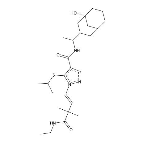 CCNC(=O)C(C)(C)/C=C/n1ncc(C(=O)NC(C)C2CC3CCC[C@@](O)(C3)C2)c1SC(C)C